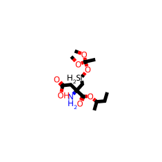 CCC(C)OC(=O)C(N)(C[SiH2]OC(C)(OC)OC)CC(=O)O